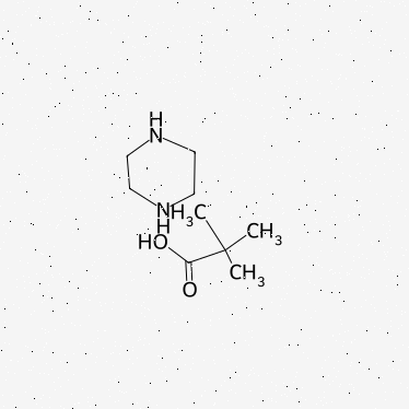 C1CNCCN1.CC(C)(C)C(=O)O